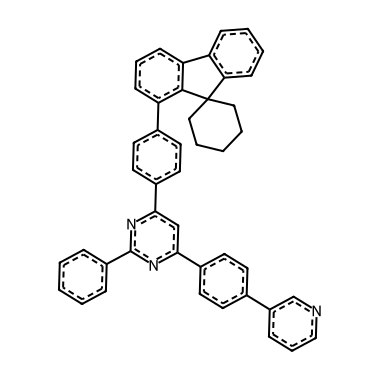 c1ccc(-c2nc(-c3ccc(-c4cccnc4)cc3)cc(-c3ccc(-c4cccc5c4C4(CCCCC4)c4ccccc4-5)cc3)n2)cc1